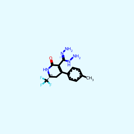 Cc1ccc(C2=C(/C(=N/N)NN)C(=O)N[C@@H](C(F)(F)F)C2)cc1